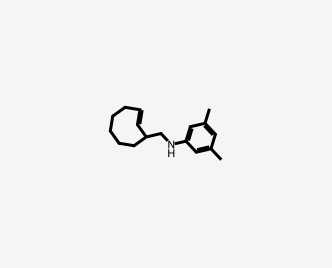 Cc1cc(C)cc(NCC2/C=C/CCCCC2)c1